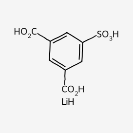 O=C(O)c1cc(C(=O)O)cc(S(=O)(=O)O)c1.[LiH]